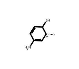 C[C@@H]1C=C(N)C=CC1S